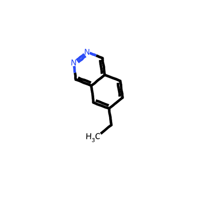 CCc1ccc2cnncc2c1